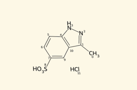 Cc1n[nH]c2ccc(S(=O)(=O)O)cc12.Cl